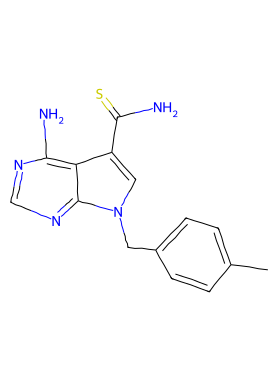 Cc1ccc(Cn2cc(C(N)=S)c3c(N)ncnc32)cc1